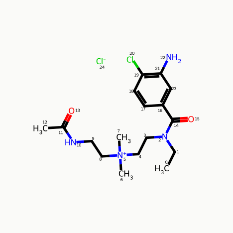 CCN(CC[N+](C)(C)CCNC(C)=O)C(=O)c1ccc(Cl)c(N)c1.[Cl-]